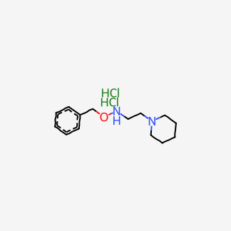 Cl.Cl.c1ccc(CONCCN2CCCCC2)cc1